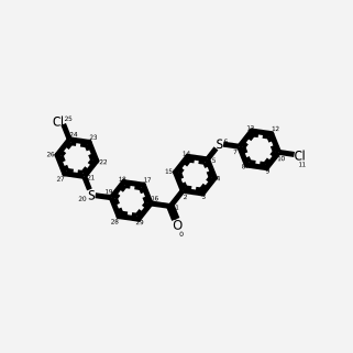 O=C(c1ccc(Sc2ccc(Cl)cc2)cc1)c1ccc(Sc2ccc(Cl)cc2)cc1